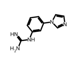 N=C(N)Nc1cccc(-n2ccnc2)c1